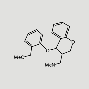 CNCC1COc2ccccc2C1Oc1ccccc1COC